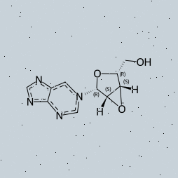 OC[C@H]1O[C@@H](n2cnc3ncnc-3c2)[C@H]2O[C@H]21